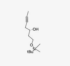 CC#CC[C@H](O)CCO[Si](C)(C)C(C)(C)C